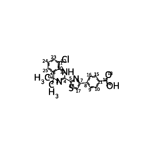 CC1(C)N=C(c2nc(-c3ccc(C(=O)O)cc3)cs2)Nc2c(Cl)cccc21